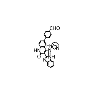 O=Cc1ccc(-c2ccc3[nH]c(=O)c(-c4nc5ccccc5[nH]4)c(N[C@H]4CN5CCC4CC5)c3c2)cc1